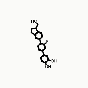 OCC1CCc2cc(-c3ccc(-c4ccc(O)c(O)c4)cc3F)ccc21